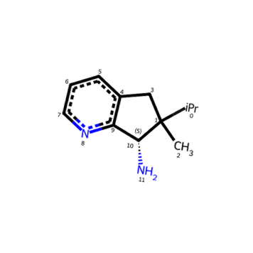 CC(C)C1(C)Cc2cccnc2[C@H]1N